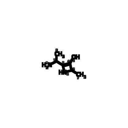 CC(N)C1=C(O)C(C)N1